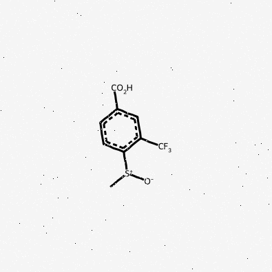 C[S+]([O-])c1ccc(C(=O)O)cc1C(F)(F)F